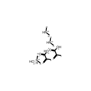 C=C(C)C(=O)O.C=C(C)C(=O)O.CNC.CNC.CNC.Cl